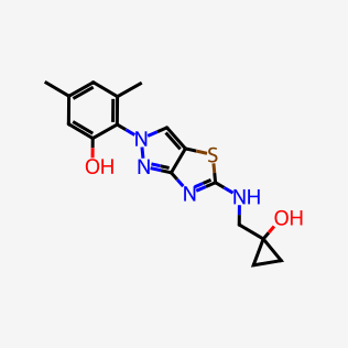 Cc1cc(C)c(-n2cc3sc(NCC4(O)CC4)nc3n2)c(O)c1